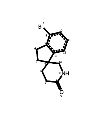 O=C1CCC2(CCc3c(Br)cccc32)CN1